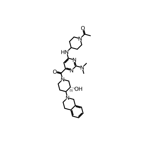 CC(=O)N1CCC(Nc2cc(C(=O)N3CCC(N4CCc5ccccc5C4)[C@@H](O)C3)nc(N(C)C)n2)CC1